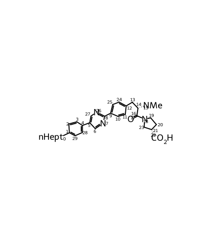 CCCCCCCc1ccc(-c2cnc(-c3ccc(C[C@H](NC)C(=O)N4CC[C@H](C(=O)O)C4)cc3)nc2)cc1